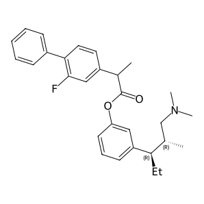 CC[C@@H](c1cccc(OC(=O)C(C)c2ccc(-c3ccccc3)c(F)c2)c1)[C@@H](C)CN(C)C